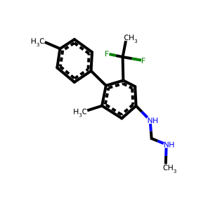 CNCNc1cc(C)c(-c2ccc(C)cc2)c(C(C)(F)F)c1